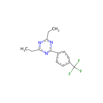 CCc1nc(CC)nc(-c2ccc(C(F)(F)F)cc2)n1